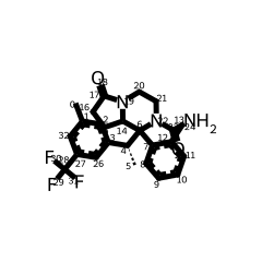 Cc1cc([C@@H](C)C2(c3ccccc3C)C3CCC(=O)N3CCN2C(N)=O)cc(C(F)(F)F)c1